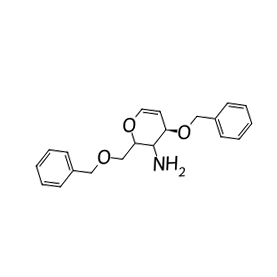 NC1C(COCc2ccccc2)OC=C[C@H]1OCc1ccccc1